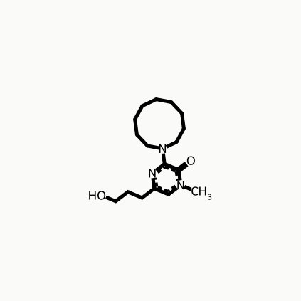 Cn1cc(CCCO)nc(N2CCCCCCCCC2)c1=O